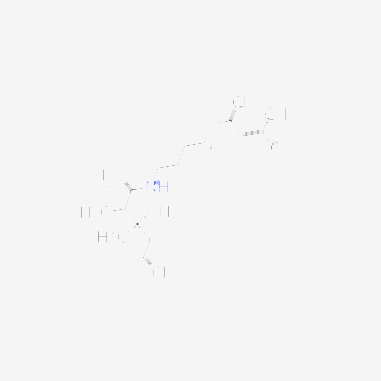 C=CCC(C)(C)C(C)C(=C)NCCCCSC(=C)C=C(C)C